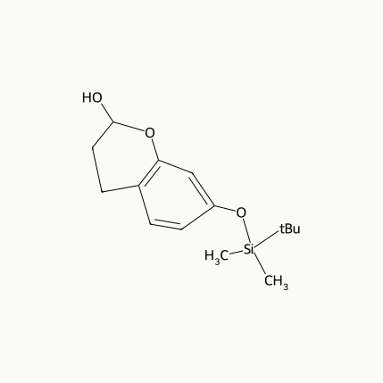 CC(C)(C)[Si](C)(C)Oc1ccc2c(c1)OC(O)CC2